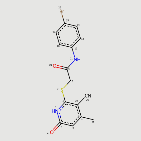 Cc1cc(=O)[nH]c(SCC(=O)Nc2ccc(Br)cc2)c1C#N